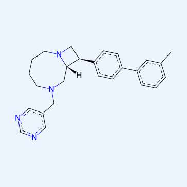 Cc1cccc(-c2ccc([C@@H]3CN4CCCCN(Cc5cncnc5)C[C@@H]34)cc2)c1